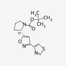 CC(C)(C)OC(=O)N1CCC[C@H]1c1cc(-c2cscn2)no1